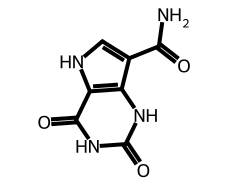 NC(=O)c1c[nH]c2c(=O)[nH]c(=O)[nH]c12